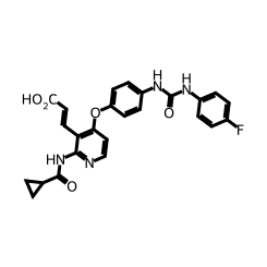 O=C(O)/C=C/c1c(Oc2ccc(NC(=O)Nc3ccc(F)cc3)cc2)ccnc1NC(=O)C1CC1